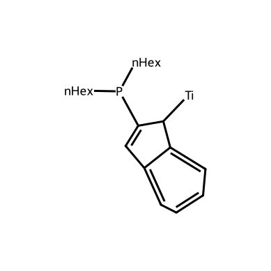 CCCCCCP(CCCCCC)C1=Cc2ccccc2[CH]1[Ti]